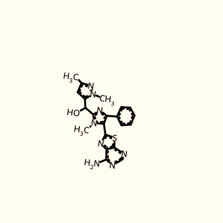 Cc1cc(C(O)c2nc(-c3ccccc3)c(-c3nc4c(N)ncnc4s3)n2C)n(C)n1